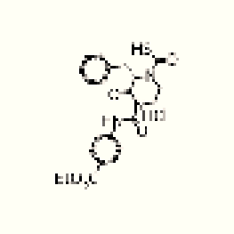 CCOC(=O)c1ccc(NC(=O)N2CCN(C(=O)S)[C@@H](Cc3ccccc3)C2=O)cc1.Cl